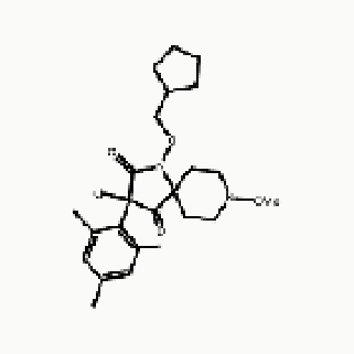 CON1CCC2(CC1)C(=O)C(Cl)(c1c(C)cc(C)cc1C)C(=O)N2OCC1CCCC1